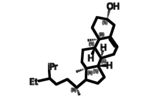 CCC(CC[C@@H](C)C1CC[C@H]2[C@@H]3CC=C4C[C@@H](O)CC[C@]4(C)[C@H]3CC[C@]12C)C(C)C